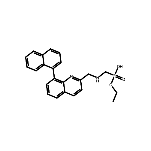 CCOP(=O)(O)CNCc1ccc2cccc(-c3cccc4ccccc34)c2n1